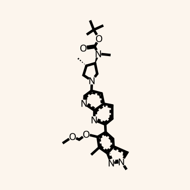 COCOc1c(-c2ccc3cc(N4C[C@H](C)[C@@H](N(C)C(=O)OC(C)(C)C)C4)cnc3n2)cc2cn(C)nc2c1C